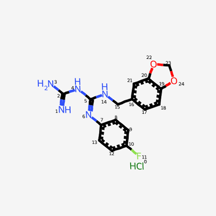 Cl.N=C(N)NC(=Nc1ccc(F)cc1)NCc1ccc2c(c1)OCO2